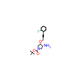 CC(C)(C)OC(=O)N1C[C@@H](N)[C@H](OCC#Cc2ccccc2F)C1